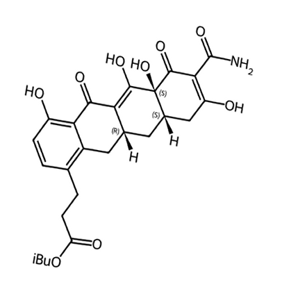 CC(C)COC(=O)CCc1ccc(O)c2c1C[C@H]1C[C@H]3CC(O)=C(C(N)=O)C(=O)[C@@]3(O)C(O)=C1C2=O